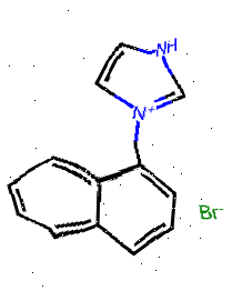 [Br-].c1ccc2c(-[n+]3cc[nH]c3)cccc2c1